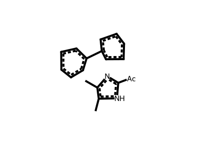 CC(=O)c1nc(C)c(C)[nH]1.c1ccc(-c2ccccc2)cc1